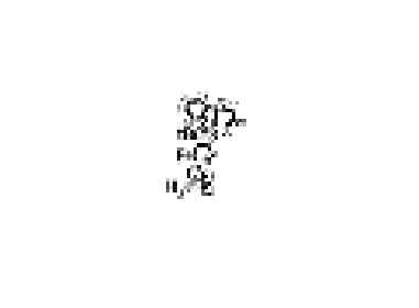 CC(C)(C)[Si](OC1CCC(OS(C)(=O)=O)C(F)C1)(c1ccccc1)c1ccccc1